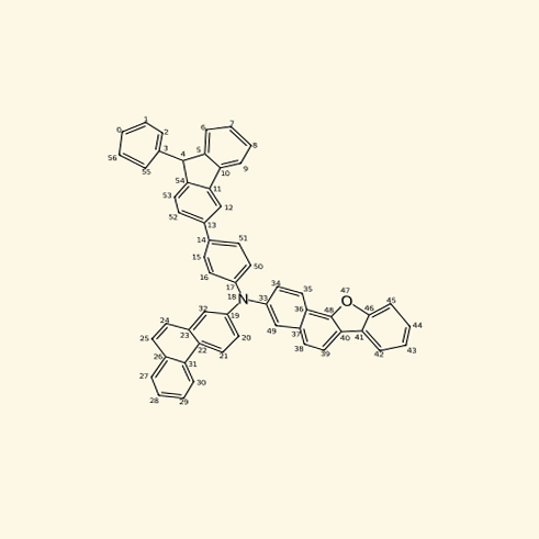 c1ccc(C2c3ccccc3-c3cc(-c4ccc(N(c5ccc6c(ccc7ccccc76)c5)c5ccc6c(ccc7c8ccccc8oc67)c5)cc4)ccc32)cc1